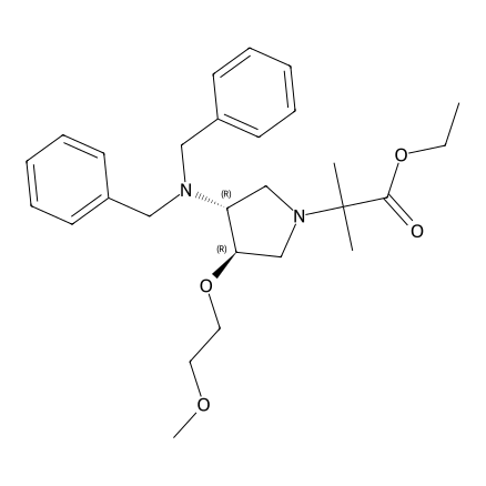 CCOC(=O)C(C)(C)N1C[C@@H](N(Cc2ccccc2)Cc2ccccc2)[C@H](OCCOC)C1